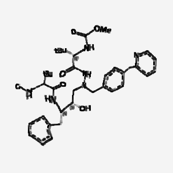 COC(=O)N[C@H](C(=O)NN(Cc1ccc(-c2ccccn2)cc1)C[C@H](O)[C@H](Cc1ccccc1)NC(=O)C(NCl)C(C)(C)C)C(C)(C)C